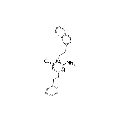 Nc1nc(C=Cc2ccccc2)cc(=O)n1CCc1ccc2ccccc2c1